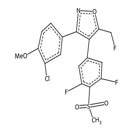 COc1ccc(-c2noc(CF)c2-c2cc(F)c(S(C)(=O)=O)c(F)c2)cc1Cl